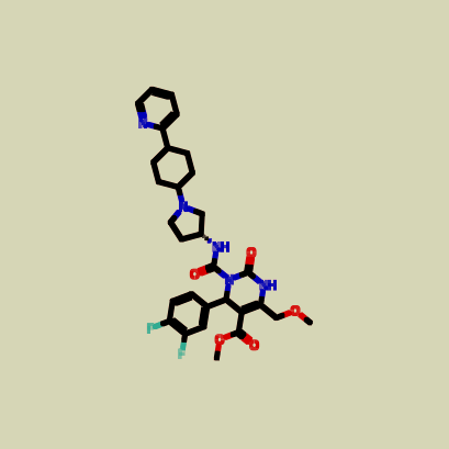 COCC1=C(C(=O)OC)C(c2ccc(F)c(F)c2)N(C(=O)N[C@@H]2CCN(C3CCC(c4ccccn4)CC3)C2)C(=O)N1